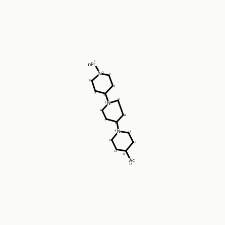 CCCN1CCC(N2CCC(N3CCC(C(C)=O)CC3)CC2)CC1